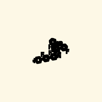 CN1CCC(c2ccc(-c3ccc4ncn(C(c5nc6ccccc6[nH]5)c5cc(F)ccc5O)c(=O)c4c3F)cc2F)CC1